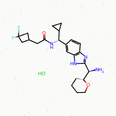 Cl.N[C@H](c1nc2ccc([C@H](NC(=O)CC3CC(F)(F)C3)C3CC3)cc2[nH]1)[C@H]1CCCCO1